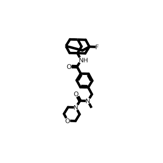 CN(Cc1ccc(C(=O)NC23CC4CC(CC(F)(C4)C2)C3)cc1)C(=O)N1CCOCC1